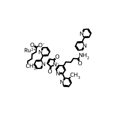 CCCCCC(=O)[O-].Cc1cccnc1-c1cc(CCCC(N)=O)ccn1.O=C1C=CC(=O)[N-]1.[Ru+2].c1ccc(-c2ccccn2)nc1.c1ccc(-c2ccccn2)nc1